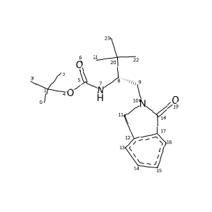 CC(C)(C)OC(=O)N[C@@H](CN1Cc2ccccc2C1=O)C(C)(C)C